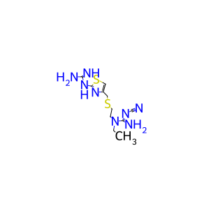 CCN(CCSCc1csc(NC(=N)N)n1)C(N)=NC#N